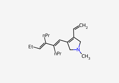 C=CC1=C(/C=C(CCC)/C(=C/CC)CCC)CN(C)C1